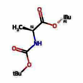 CC[C@@H](C)OC(=O)[C@H](C)NC(=O)OC(C)(C)C